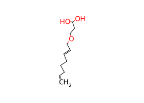 C=CCCCC=CCOCCC(O)O